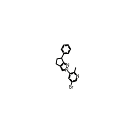 Cc1ncc(Br)cc1-n1cc2c(n1)C(c1ccccc1)CC2